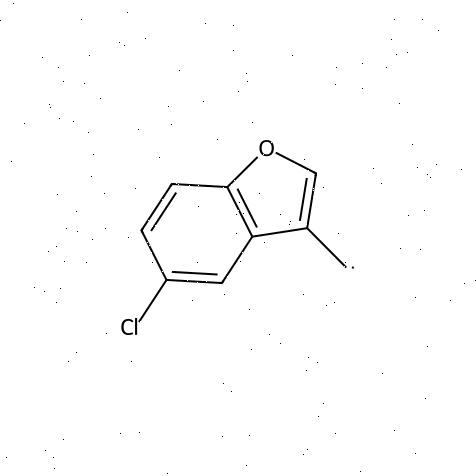 [CH2]c1coc2ccc(Cl)cc12